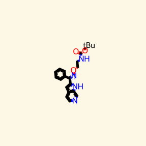 CC(C)(C)OC(=O)NCCO/N=C(\c1ccccc1)c1cc2ccncc2[nH]1